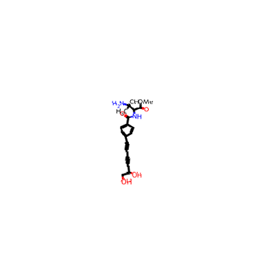 COC(=O)C(NC(=O)c1ccc(C#CC#CC(O)CO)cc1)C(C)(C)N